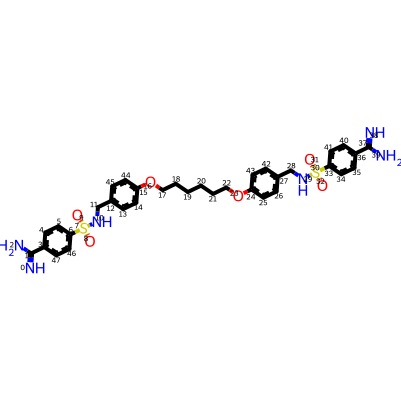 N=C(N)c1ccc(S(=O)(=O)NCc2ccc(OCCCCCCOc3ccc(CNS(=O)(=O)c4ccc(C(=N)N)cc4)cc3)cc2)cc1